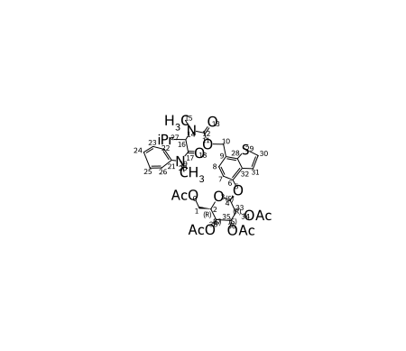 CC(=O)OC[C@H]1O[C@@H](Oc2ccc(COC(=O)N(C)C(C(=O)N(C)c3ccccc3)C(C)C)c3sccc23)[C@H](OC(C)=O)[C@@H](OC(C)=O)[C@H]1OC(C)=O